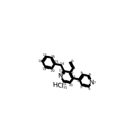 C=Cc1c(-c2ccncc2)ccnc1Cc1ccccc1.Cl